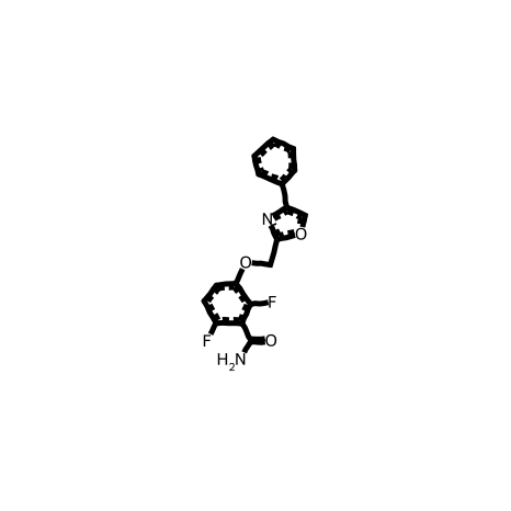 NC(=O)c1c(F)ccc(OCc2nc(-c3ccccc3)co2)c1F